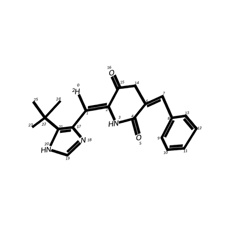 [2H]/C(=C1/NC(=O)/C(=C\c2ccccc2)CC1=O)c1nc[nH]c1C(C)(C)C